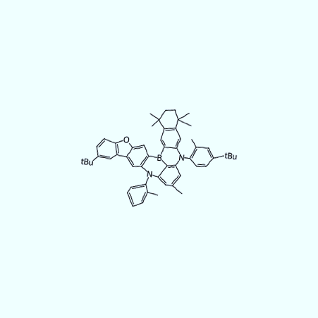 Cc1cc2c3c(c1)N(c1ccccc1C)c1cc4c(cc1B3c1cc3c(cc1N2c1ccc(C(C)(C)C)cc1C)C(C)(C)CCC3(C)C)oc1ccc(C(C)(C)C)cc14